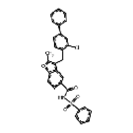 Cc1oc2ccc(C(=O)NS(=O)(=O)c3ccccc3)cc2c1Cc1ccc(-c2ccccc2)cc1Cl